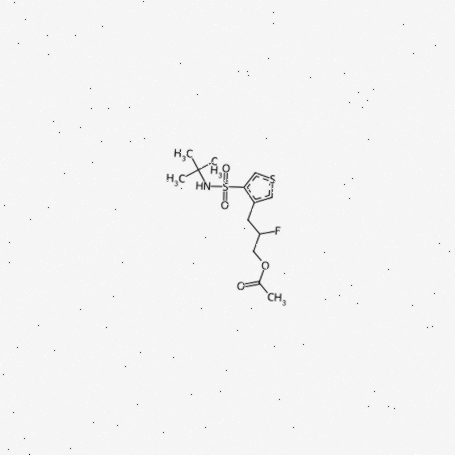 CC(=O)OCC(F)Cc1cscc1S(=O)(=O)NC(C)(C)C